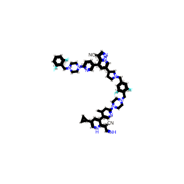 CC1CC(N2CCN(Cc3c(F)cc(CN4CCC(c5cc(-c6ccc(N7CCN(Cc8c(F)cccc8F)CC7)nc6)c6c(C#N)cnn6c5)C4)cc3F)CC2)=NC=C1C1=CC(C2CC2)=CN/C1=C(/C#N)C=N